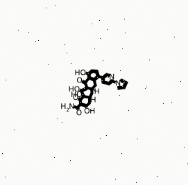 NC(=O)C1=C(O)C[C@@H]2C[C@@H]3Cc4c(-c5ccc(-n6cccc6)nc5)ccc(O)c4C(=O)C3=C(O)[C@]2(O)C1=O